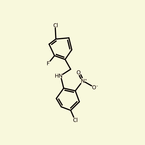 O=[N+]([O-])c1cc(Cl)ccc1NCc1ccc(Cl)cc1F